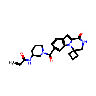 C=CC(=O)NC1CCCN(C(=O)c2ccc3cc4n(c3c2)C2(CCC2)CNC4=O)C1